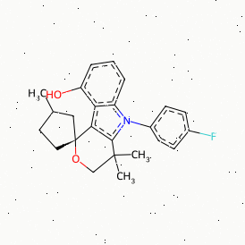 CC1CC[C@]2(C1)OCC(C)(C)c1c2c2c(O)cccc2n1-c1ccc(F)cc1